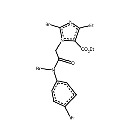 CCOC(=O)c1c(CC)nc(Br)n1CC(=O)N(Br)c1ccc(C(C)C)cc1